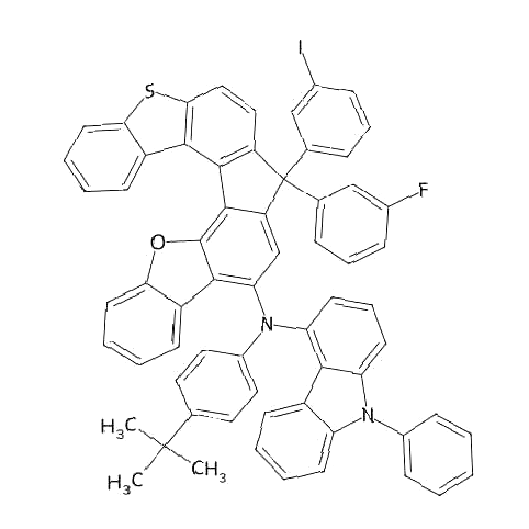 CC(C)(C)c1ccc(N(c2cc3c(c4oc5ccccc5c24)-c2c(ccc4sc5ccccc5c24)C3(c2cccc(F)c2)c2cccc(I)c2)c2cccc3c2c2ccccc2n3-c2ccccc2)cc1